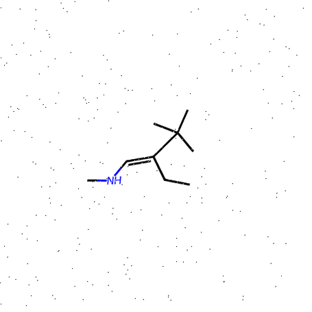 CC/C(=C\NC)C(C)(C)C